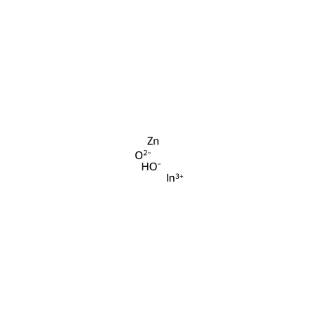 [In+3].[O-2].[OH-].[Zn]